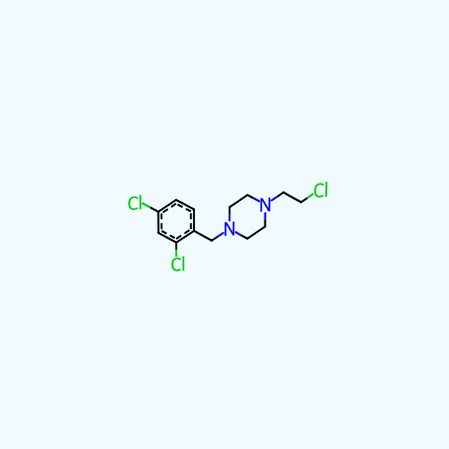 ClCCN1CCN(Cc2ccc(Cl)cc2Cl)CC1